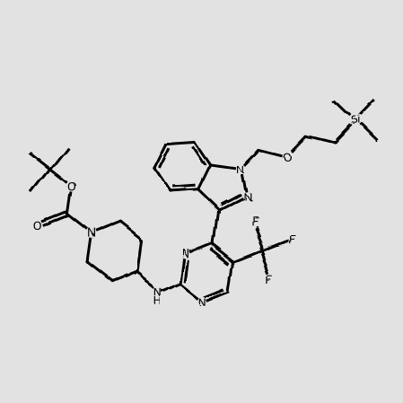 CC(C)(C)OC(=O)N1CCC(Nc2ncc(C(F)(F)F)c(-c3nn(COCC[Si](C)(C)C)c4ccccc34)n2)CC1